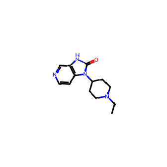 CCN1CCC(n2c(=O)[nH]c3cnccc32)CC1